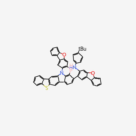 CC(C)(C)c1ccc(Nc2cc3oc4ccccc4c3cc2-c2ccc3c4cc5sc6ccccc6c5cc4n4c3c2Bc2cc3oc5ccccc5c3cc2-4)cc1